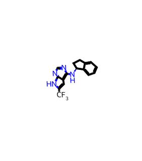 FC(F)(F)c1cc2c(N[C@H]3CCc4ccccc43)ncnc2[nH]1